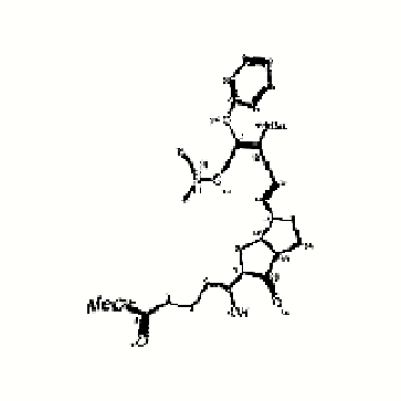 COC(=O)CCCC(O)C1CC2C(C=CC(C(Oc3ccccc3)O[SiH](C)C)C(C)(C)C)CCC2C1=O